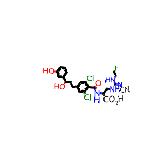 N#C/N=C(/NCCF)NCC(NC(=O)c1c(Cl)cc(CCC(O)c2cccc(O)c2)cc1Cl)C(=O)O